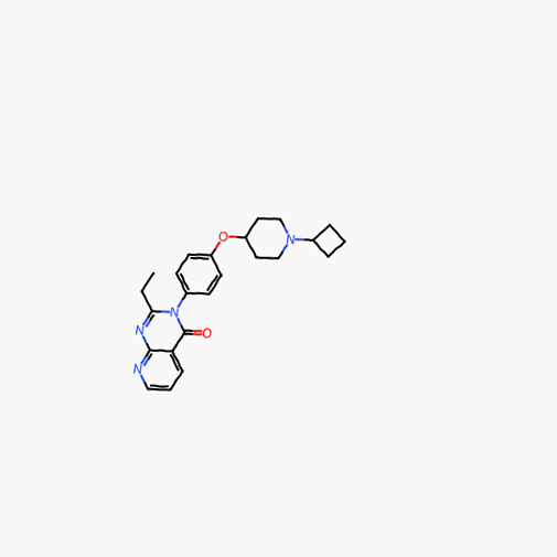 CCc1nc2ncccc2c(=O)n1-c1ccc(OC2CCN(C3CCC3)CC2)cc1